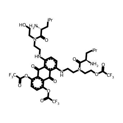 CC(C)C[C@@H](N)C(=O)N(CCO)CCNc1ccc(NCCN(CCOC(=O)C(F)(F)F)C(=O)[C@H](N)CC(C)C)c2c1C(=O)c1c(OC(=O)C(F)(F)F)ccc(OC(=O)C(F)(F)F)c1C2=O